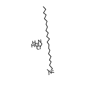 CCCCCCCCCCCCCCCCCCCCCC[N+](C)(C)C.Cl.NCCl